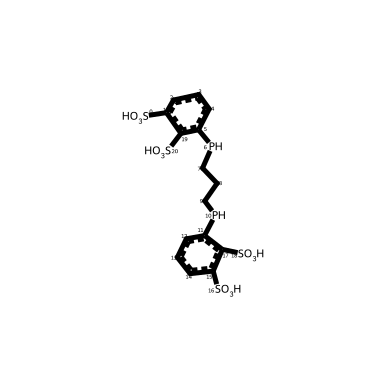 O=S(=O)(O)c1cccc(PCCCPc2cccc(S(=O)(=O)O)c2S(=O)(=O)O)c1S(=O)(=O)O